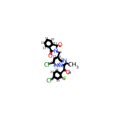 Cc1nc2c(CN3C(=O)c4ccccc4C3=O)cc(Cl)nn2c1C(=O)c1ccc(Cl)cc1F